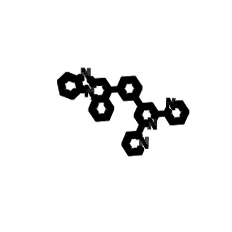 c1ccc(-c2cc(-c3cccc(-c4cc5nc6ccccc6n5c5ccccc45)c3)cc(-c3ccccn3)n2)nc1